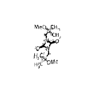 CO[Si](C)(C)CN1C(=O)N(C[Si](C)(C)OC)C1=O